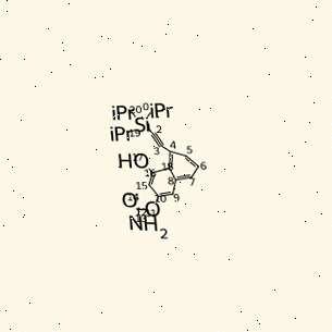 CC(C)[Si](C#Cc1cccc2cc(OC(N)=O)cc(O)c12)(C(C)C)C(C)C